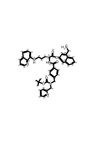 CC(C)(C)OC(=O)N(Cc1ccc(C(=O)N[C@@H](CCCNc2cccc3cccnc23)C(=O)O)cc1)Cc1ccccn1.NCc1cccc2ccccc12